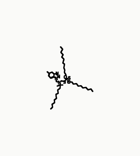 CCCCCCCCCCCCOP(=S)(OCCCCCCCCCC)SCN(CN1N=NC2CC(C)=CC=C21)C(C)(C)CCCCCCCCCC